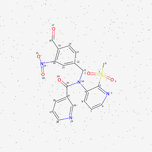 CS(=O)(=O)c1ncccc1N(Cc1ccc(C=O)c([N+](=O)[O-])c1)C(=O)c1cccnc1